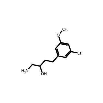 CCc1cc(CCC(O)CN)cc(OC(F)(F)F)c1